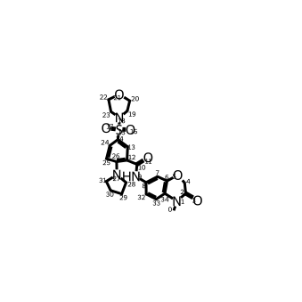 CN1C(=O)COc2cc(NC(=O)c3cc(S(=O)(=O)N4CCOCC4)ccc3N3CCCC3)ccc21